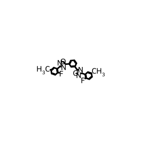 Cc1ccc(F)c(-c2noc(-c3cccc(-c4nc(-c5cc(C)ccc5F)no4)c3)n2)c1